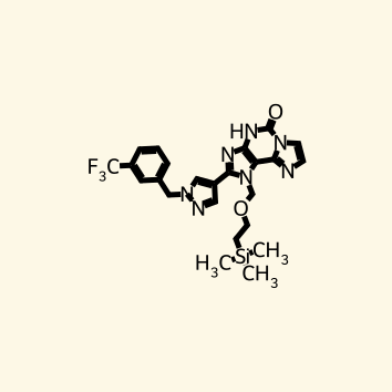 C[Si](C)(C)CCOCn1c(-c2cnn(Cc3cccc(C(F)(F)F)c3)c2)nc2[nH]c(=O)n3ccnc3c21